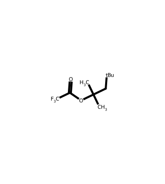 CC(C)(C)CC(C)(C)OC(=O)C(F)(F)F